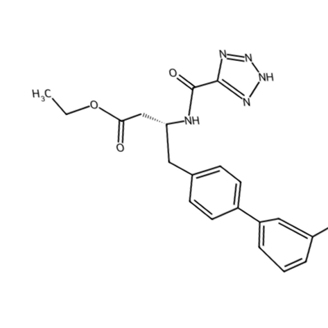 CCOC(=O)C[C@@H](Cc1ccc(-c2cccc(Cl)c2)cc1)NC(=O)c1nn[nH]n1